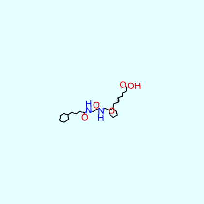 O=C(O)CCCC=CCC1C2CCC(O2)C1CNC(=O)CNC(=O)CCCC1CCCCC1